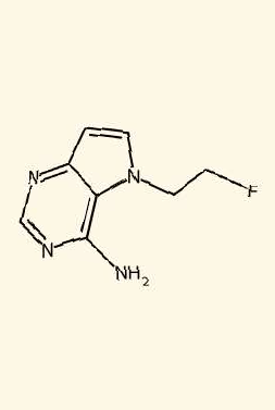 Nc1ncnc2ccn(CCF)c12